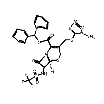 Cn1nnnc1SCC1=C(C(=O)OC(c2ccccc2)c2ccccc2)N2C(=O)C(NS(=O)(=O)C(F)(F)F)[C@@H]2SC1